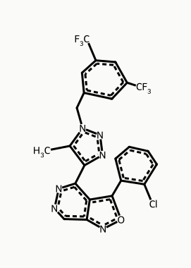 Cc1c(-c2nncc3noc(-c4ccccc4Cl)c23)nnn1Cc1cc(C(F)(F)F)cc(C(F)(F)F)c1